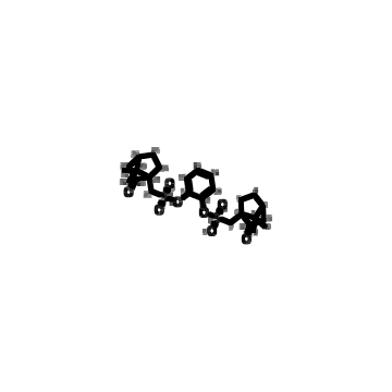 CC1(C)C2CCC1(CS(=O)(=O)Oc1ccccc1OS(=O)(=O)CC13CCC(CC1=O)C3(C)C)C(=O)C2